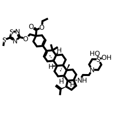 C=C(C)[C@@H]1CC[C@]2(NCCN3CCS(O)(O)CC3)CC[C@]3(C)[C@H](CC[C@@H]4[C@@]5(C)CC=C(C6=CCC(COc7nsc(SC)n7)(C(=O)OCC)CC6)C(C)(C)[C@@H]5CC[C@]43C)[C@@H]12